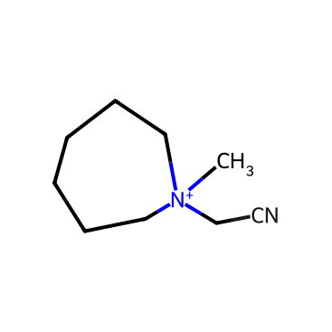 C[N+]1(CC#N)CCCCCC1